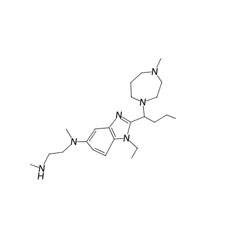 CCCC(c1nc2cc(N(C)CCNC)ccc2n1CC)N1CCCN(C)CC1